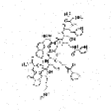 CC(=O)N[C@@H](Cc1ccc2ccccc2c1)C(=O)N[C@H](CC(CCNC(=O)c1cccnc1)C(=O)[C@@H](CO)NC(=O)[C@H](Cc1cccnc1)NC(=O)[C@H](C)N)C(=O)N[C@H](CCCCNC(=O)c1cccnc1)C(=O)N[C@@H](CC(C)C)C(=O)N[C@@H](CCCCNC(C)C)C(=O)N1CCC[C@H]1C(=O)ON[C@H](C)C(N)=O